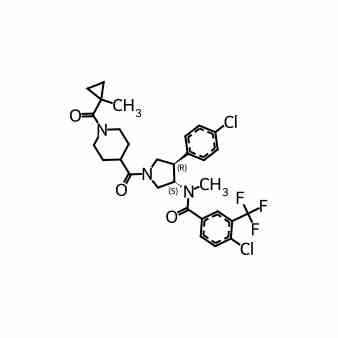 CN(C(=O)c1ccc(Cl)c(C(F)(F)F)c1)[C@@H]1CN(C(=O)C2CCN(C(=O)C3(C)CC3)CC2)C[C@H]1c1ccc(Cl)cc1